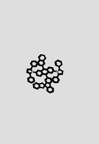 C1=CCC(C2CC=C(c3ccccc3)N2c2ccc3c(-c4ccc5c(c4)CCC=C5)c4cc(-n5c(-c6ccccc6)ccc5-c5ccccc5)ccc4c(-c4ccc5c(c4)C4(Cc6ccccc6C4)c4ccccc4-5)c3c2)C=C1